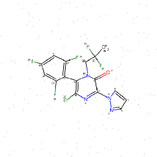 O=c1c(-n2cccn2)nc(Cl)c(-c2c(F)cc(F)cc2F)n1CC(F)(F)C(F)(F)F